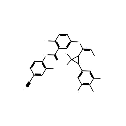 C/C=C(/Nc1ccc(F)c(C(=O)Nc2ccc(C#N)cc2F)c1)C1C(c2cc(C)c(C)c(Cl)c2)C1(C)C